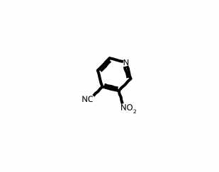 N#Cc1ccncc1[N+](=O)[O-]